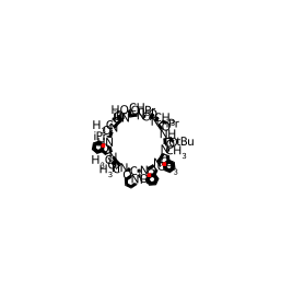 CCCN1CC(=O)N(C)[C@@H](CC(C)C)C(=O)N[C@@H](COC(C)(C)C)C(=O)N(C)[C@@H](Cc2ccccc2)C(=O)N(C)[C@@H](Cc2ccccc2)C(=O)N[C@H](C(=O)N2CCCCC2)CC(=O)N[C@H](C)C(=O)N(C)[C@@H](Cc2ccccc2)C(=O)N[C@@H](C(C)C)C(=O)N(C)[C@@H](CC(C)C)C(=O)N[C@@H]([C@@H](C)O)C1=O